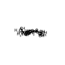 CC(C)CCCC(C)[C@H]1CC[C@H]2[C@@H]3CC=C4C[C@@H](OC(=O)CCC(=O)OC[C@H]5OC(O)[C@H](O)[C@@H](O)[C@@H]5O)CC[C@]4(C)[C@H]3CC[C@]12C